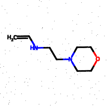 C=CNCCN1CCOCC1